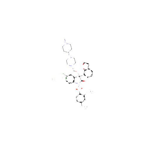 COc1ccc(S(=O)(=O)N2C(=O)C(OC(=O)N3CCN(C4CCN(C)CC4)CC3)(c3cccc4ccoc34)c3cc(Cl)ccc32)c(OC)c1.Cl.Cl